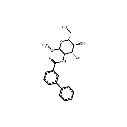 COC1O[C@H](CO)[C@@H](O)[C@H](O)[C@H]1NC(=O)c1cccc(-c2ccccc2)c1